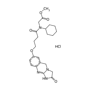 COC(=O)CN(C(=O)CCCOc1ccc2c(c1)CN1CC(=O)NC1=N2)C1CCCCC1.Cl